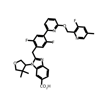 Cc1cnc(COc2cccc(-c3cc(F)c(Cc4nc5ccc(C(=O)O)cc5n4C4COCC4(C)C)cc3F)n2)c(F)c1